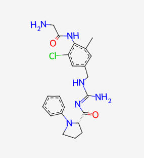 Cc1cc(CN/C(N)=N/C(=O)[C@@H]2CCCN2c2ccccc2)cc(Cl)c1NC(=O)CN